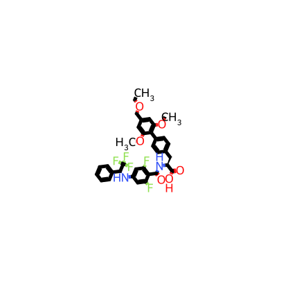 CCOCc1cc(OC)c(-c2ccc(C[C@H](NC(=O)c3c(F)cc(N[C@H](c4ccccc4)C(F)(F)F)cc3F)C(=O)O)cc2)c(OC)c1